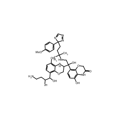 COc1ccc(C2(CCC(C)(C)NCC(O)(c3ccc(O)c4c3OCC(=O)N4)C3COc4c(C(O)C(CCN)C(C)C)ccc(O)c4N3)N=CN=N2)cc1